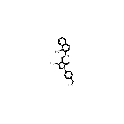 CC1=CN(c2ccc(CO)cc2)C(=O)/C1=N\Nc1ccc2ccccc2c1O